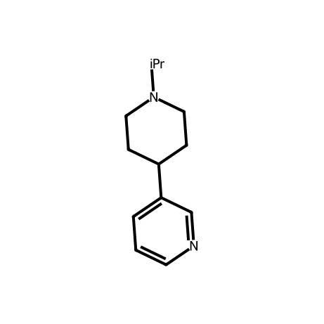 CC(C)N1CCC(c2cccnc2)CC1